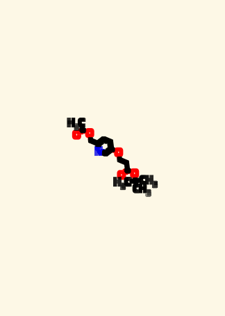 CC(=O)OCc1ccc(OCCC(=O)OC(C)(C)C)cn1